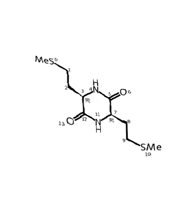 CSCC[C@H]1NC(=O)[C@@H](CCSC)NC1=O